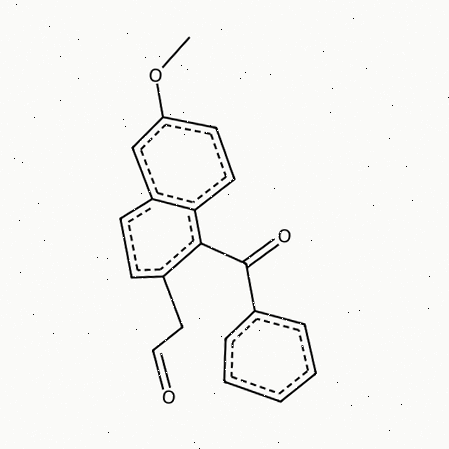 COc1ccc2c(C(=O)c3ccccc3)c(CC=O)ccc2c1